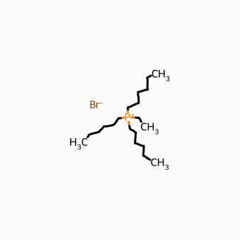 CCCCCC[P+](CC)(CCCCCC)CCCCCC.[Br-]